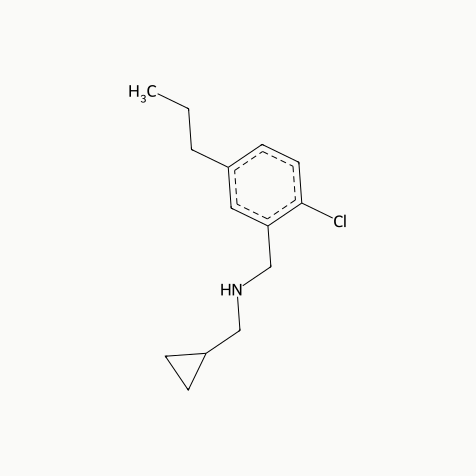 CCCc1ccc(Cl)c(CNCC2CC2)c1